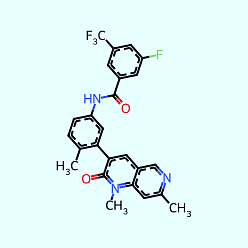 Cc1cc2c(cn1)cc(-c1cc(NC(=O)c3cc(F)cc(C(F)(F)F)c3)ccc1C)c(=O)n2C